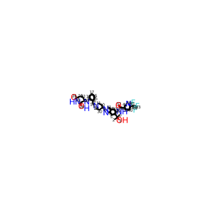 CC(C)(O)c1cc2nn(C3CCN(Cc4ccccc4NC4CCC(=O)NC4=O)CC3)cc2cc1NC(=O)c1ccc(C(F)(F)F)nc1